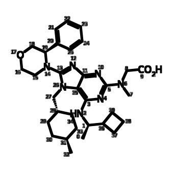 C[C@@H](Nc1nc(N(C)CC(=O)O)nc2nc(N3CCOC[C@H]3c3ccccc3)n(C[C@H]3CC[C@H](C)CC3)c12)C1CCC1